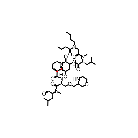 CCCCN(CC(=O)N(C)[C@@H](CC(C)C)C(=O)NC(CC(=O)N(C)C(C)C(=O)N[C@@H](COCC1COCCN1)C(=O)N(C)[C@H](C=O)CC(C)C)C(=O)N1CCCCC1)C(=O)CCC